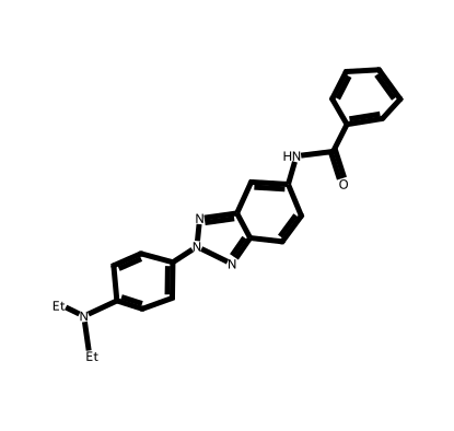 CCN(CC)c1ccc(-n2nc3ccc(NC(=O)c4ccccc4)cc3n2)cc1